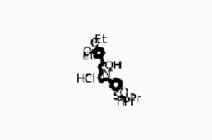 CCCC1(CCC)Oc2ccc(C3CCC(CCc4ccc(OCC)c(OCC)c4)N3CO)cc2S1.Cl